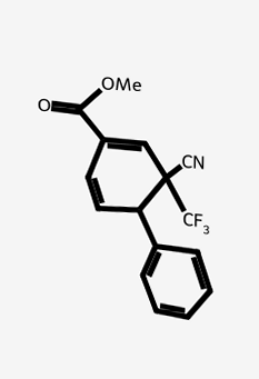 COC(=O)C1=CC(C#N)(C(F)(F)F)C(c2ccccc2)C=C1